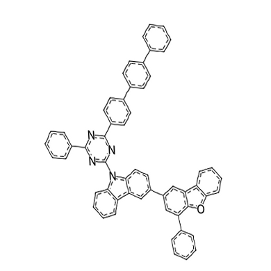 c1ccc(-c2ccc(-c3ccc(-c4nc(-c5ccccc5)nc(-n5c6ccccc6c6cc(-c7cc(-c8ccccc8)c8oc9ccccc9c8c7)ccc65)n4)cc3)cc2)cc1